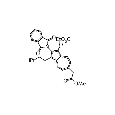 CCOC(=O)Oc1c2ccc(CC(=O)OC)ccc-2c(CCC(C)C)c1N1C(=O)c2ccccc2C1=O